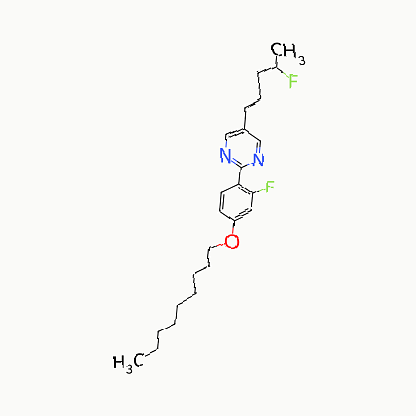 CCCCCCCCCOc1ccc(-c2ncc(CCCC(C)F)cn2)c(F)c1